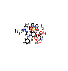 CN(C)CCN1c2ccccc2Sc2ccc(S(=O)(=O)N(C)C)cc21.O=C(O)/C=C\C(=O)O